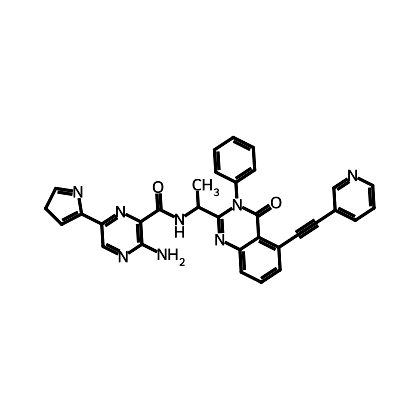 CC(NC(=O)c1nc(C2=CCC=N2)cnc1N)c1nc2cccc(C#Cc3cccnc3)c2c(=O)n1-c1ccccc1